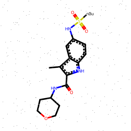 CCCCS(=O)(=O)Nc1ccc2[nH]c(C(=O)NC3CCOCC3)c(C)c2c1